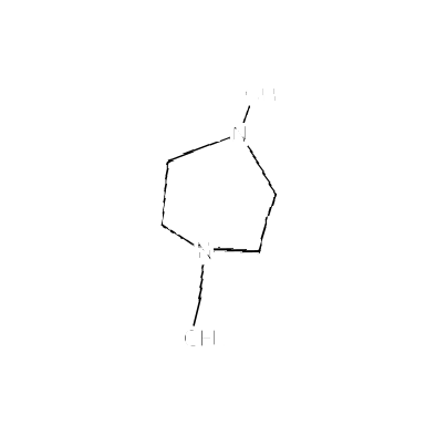 CN1CCN(O)CC1